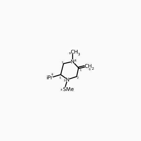 C=C1CN(SC)C(C(C)C)CN1C